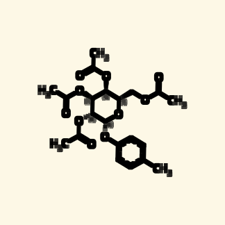 CC(=O)OC[C@H]1O[C@H](Oc2ccc(C)cc2)[C@H](OC(C)=O)[C@@H](OC(C)=O)[C@H]1OC(C)=O